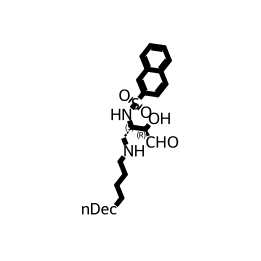 CCCCCCCCCCCCCCNC[C@H](NS(=O)(=O)c1ccc2ccccc2c1)[C@@H](O)C=O